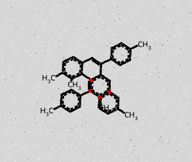 Cc1ccc(C(=Cc2ccc(C)c(C)c2C=C(c2ccc(C)cc2)c2ccc(C)cc2)c2ccc(C)cc2)cc1